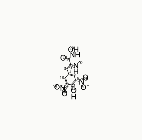 CN[C@@H](Cc1cc([N+](=O)[O-])c(O)c([N+](=O)[O-])c1)C(=O)NO